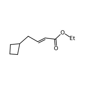 CCOC(=O)/C=C/CC1CCC1